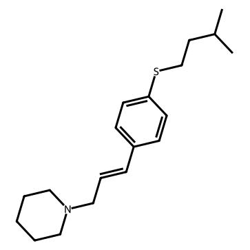 CC(C)CCSc1ccc(C=CCN2CCCCC2)cc1